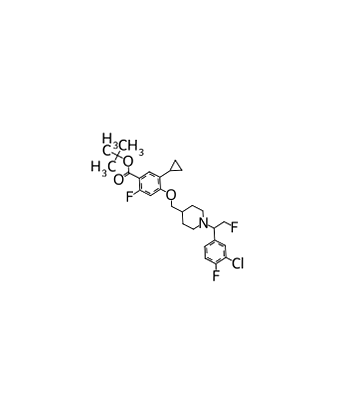 CC(C)(C)OC(=O)c1cc(C2CC2)c(OCC2CCN(C(CF)c3ccc(F)c(Cl)c3)CC2)cc1F